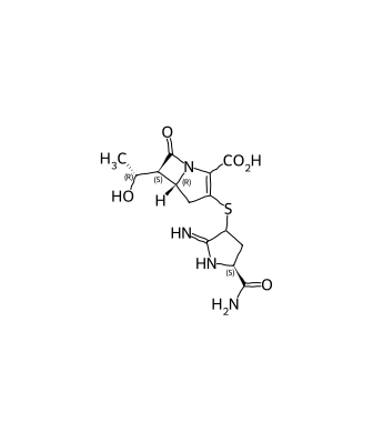 C[C@@H](O)[C@H]1C(=O)N2C(C(=O)O)=C(SC3C[C@@H](C(N)=O)NC3=N)C[C@H]12